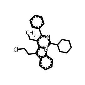 CCc1c(-c2ccccc2)nc(C2CCCCC2)n2c1c(CCCl)c1ccccc12